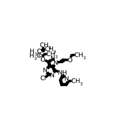 CCOC#Cn1nc(O[Si](C)(C)C(C)(C)C)c2nc(Cl)nc(Nc3cccc(C)n3)c21